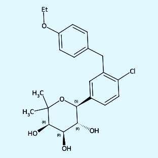 CCOc1ccc(Cc2cc([C@@H]3OC(C)(C)[C@H](O)[C@H](O)[C@H]3O)ccc2Cl)cc1